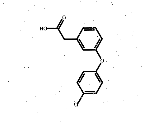 O=C(O)Cc1cccc(Oc2ccc(Cl)cc2)c1